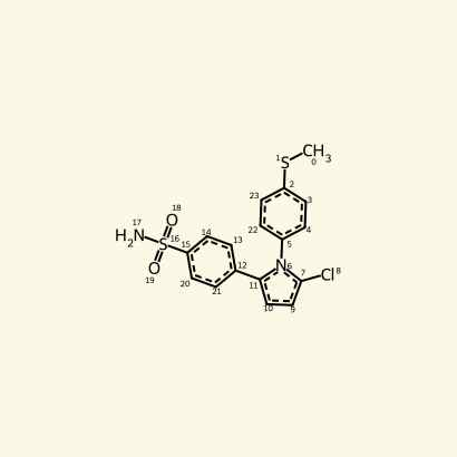 CSc1ccc(-n2c(Cl)ccc2-c2ccc(S(N)(=O)=O)cc2)cc1